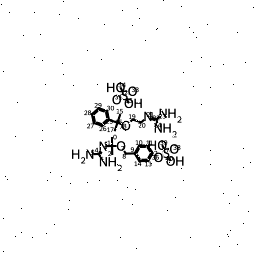 CC(C)(N=C(N)N)OCc1ccccc1.CC(C)(OCCN=C(N)N)c1ccccc1.O=S(=O)(O)O.O=S(=O)(O)O